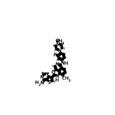 Cc1ccc2c(Nc3ccc(N4CCN(C)CC4)c(F)c3)nccc2c1NC(=O)c1csc2c(N)ncnc12